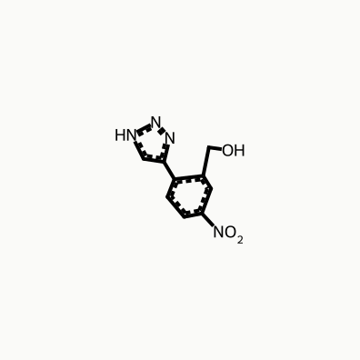 O=[N+]([O-])c1ccc(-c2c[nH]nn2)c(CO)c1